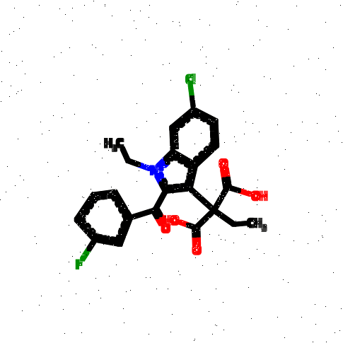 CCn1c(C(=O)c2cccc(F)c2)c(C(CC)(C(=O)O)C(=O)O)c2ccc(Cl)cc21